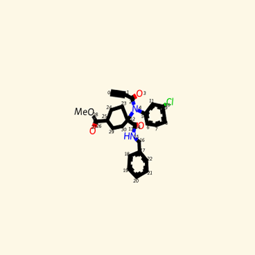 C#CC(=O)N(c1cccc(Cl)c1)C1(C(=O)NCc2ccccc2)CCC(C(=O)OC)CC1